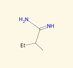 [CH2]CC(C)C(=N)N